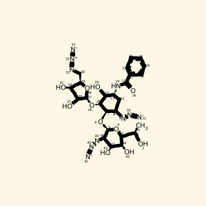 C[C@@H](O)C1O[C@H](O[C@@H]2C(N=[N+]=[N-])C[C@@H](NC(=O)c3ccccc3)C(O)[C@H]2O[C@@H]2O[C@H](CN=[N+]=[N-])[C@H](O)C2O)C(N=[N+]=[N-])[C@@H](O)[C@@H]1O